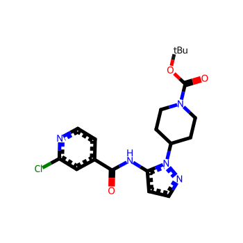 CC(C)(C)OC(=O)N1CCC(n2nccc2NC(=O)c2ccnc(Cl)c2)CC1